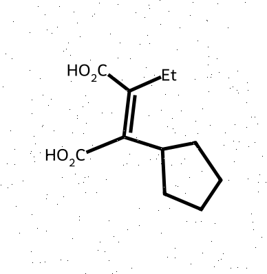 CC/C(C(=O)O)=C(/C(=O)O)C1CCCC1